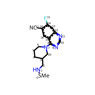 CSNCC1CCCN(c2ncnc3cc(F)c(C#N)cc23)C1